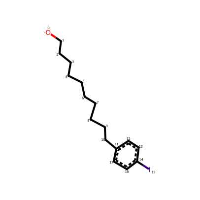 [O]CCCCCCCCCCc1ccc(I)cc1